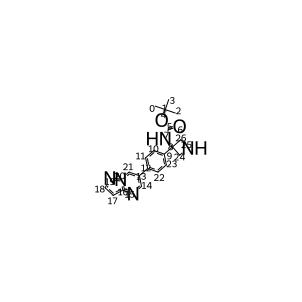 CC(C)(C)OC(=O)NC1(c2ccc(-c3cnc4ccnn4c3)cc2)CNC1